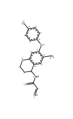 N=CC(=O)NC1CCOc2cc(Oc3ccc(Cl)cc3)c(N)cc21